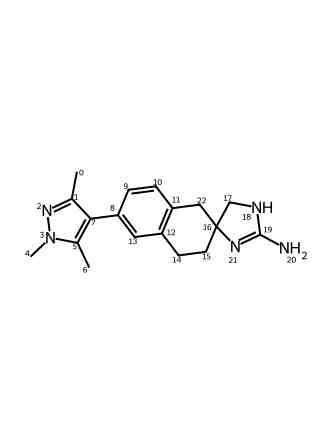 Cc1nn(C)c(C)c1-c1ccc2c(c1)CCC1(CNC(N)=N1)C2